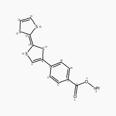 CCCOC(=O)c1ccc(C2=CSC(=C3SC=CS3)S2)cc1